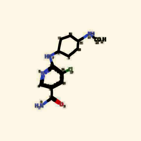 NC(=O)c1cnc(NC2CCC(NC(=O)O)CC2)c(Cl)c1